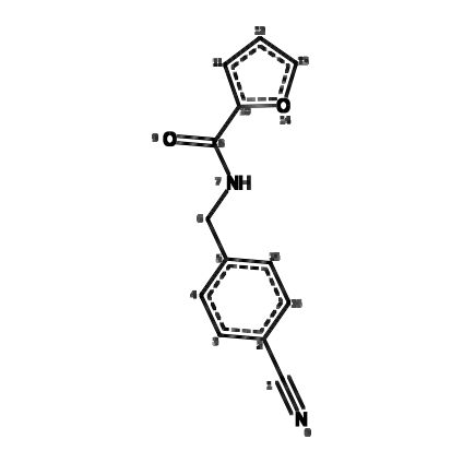 N#Cc1ccc(CNC(=O)c2ccco2)cc1